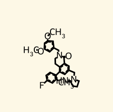 COc1cc(CN2CCc3c(cc(CN4CCCC4=N)cc3-c3ccc(F)cc3C)C2=O)cc(OC)c1